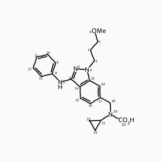 COCCCn1nc(Nc2ccccc2)c2ccc(CN(C(=O)O)C3CC3)cc21